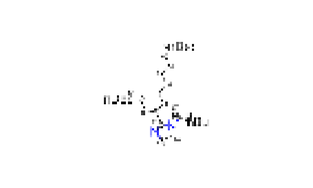 CCCCCCCCCCCCCCCCC(CCCCCCCCCCCC)c1nccn1C(C)CCCC